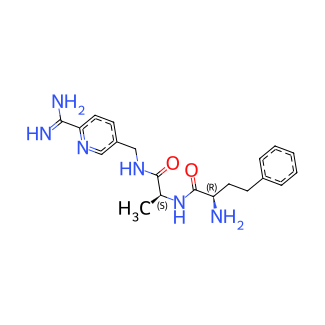 C[C@H](NC(=O)[C@H](N)CCc1ccccc1)C(=O)NCc1ccc(C(=N)N)nc1